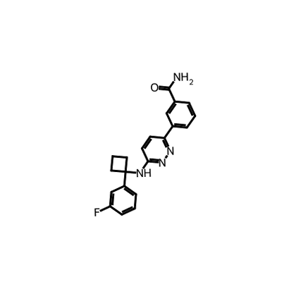 NC(=O)c1cccc(-c2ccc(NC3(c4cccc(F)c4)CCC3)nn2)c1